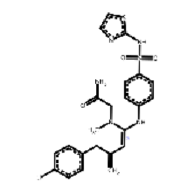 C=C(/C=C(/Nc1ccc(S(=O)(=O)Nc2nccs2)cc1)N(C)CC(N)=O)Cc1ccc(Cl)cc1